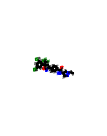 CCn1cc(NC(=O)c2ccc(C3=NOC(c4cc(Cl)cc(Cl)c4)(C(F)(F)F)C3)cc2)cn1